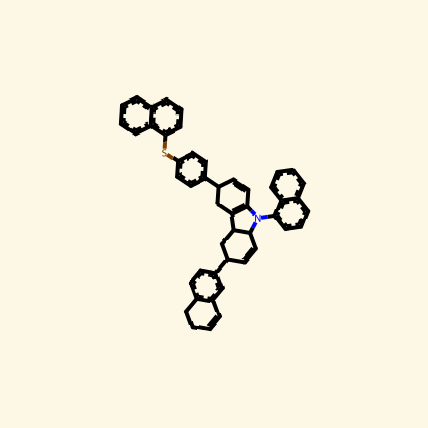 C1=Cc2cc(C3C=CC4C(C3)C3=C(C=CC(c5ccc(Sc6cccc7ccccc67)cc5)C3)N4c3cccc4ccccc34)ccc2CC1